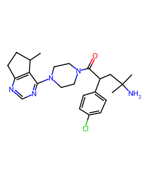 CC1CCc2ncnc(N3CCN(C(=O)C(CC(C)(C)N)c4ccc(Cl)cc4)CC3)c21